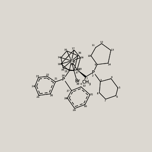 CC(P(C1CCCCC1)C1CCCCC1)[C@@]12[CH]3[CH]4[CH]5[C]1(P(c1ccccc1)c1ccccc1)[Fe]45321678[CH]2[CH]1[CH]6[C]7(Br)[CH]28